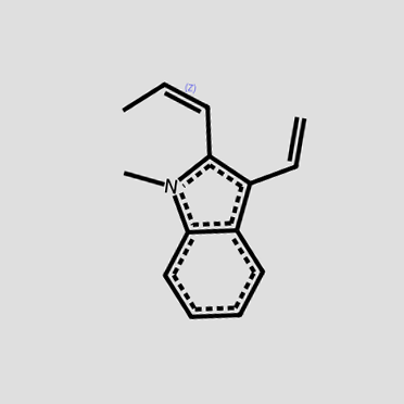 C=Cc1c(/C=C\C)n(C)c2ccccc12